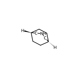 C1C[C@H]2CC[C@H]1CNC2